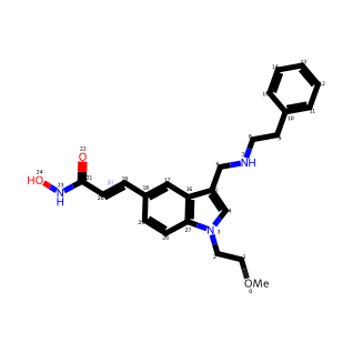 COCCn1cc(CNCCc2ccccc2)c2cc(/C=C/C(=O)NO)ccc21